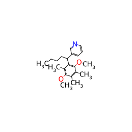 CCCCC(c1cccnc1)c1c(C)c(OC)c(C)c(C)c1OC